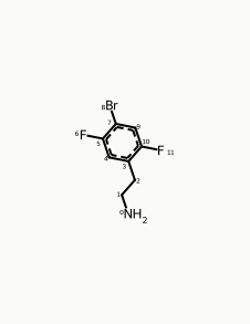 NCCc1cc(F)c(Br)cc1F